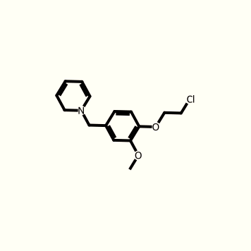 COc1cc(CN2C=CC=CC2)ccc1OCCCl